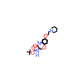 CN1C(=O)[C@@H](NC(=O)OC(C)(C)C)COc2ccc(OCCN3CCCCC3)cc21